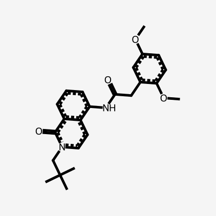 COc1ccc(OC)c(CC(=O)Nc2cccc3c(=O)n(CC(C)(C)C)ccc23)c1